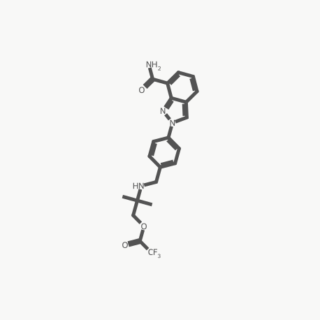 CC(C)(COC(=O)C(F)(F)F)NCc1ccc(-n2cc3cccc(C(N)=O)c3n2)cc1